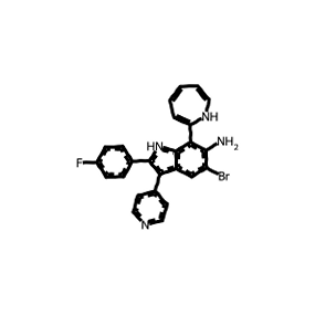 Nc1c(Br)cc2c(-c3ccncc3)c(-c3ccc(F)cc3)[nH]c2c1C1=CC=CC=CN1